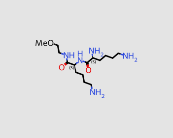 COCCNC(=O)[C@H](CCCCN)NC(=O)[C@@H](N)CCCCN